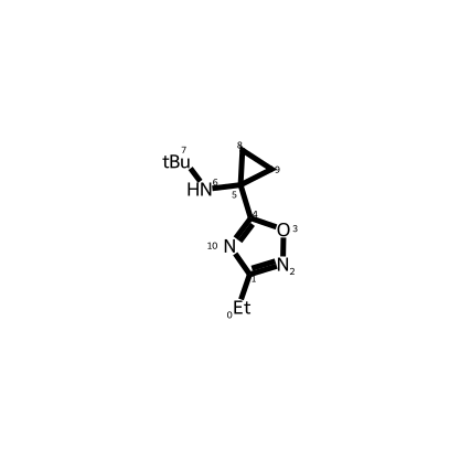 CCc1noc(C2(NC(C)(C)C)CC2)n1